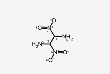 NC(C(N)[N+](=O)[O-])[N+](=O)[O-]